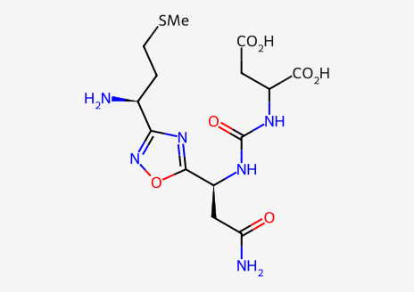 CSCC[C@H](N)c1noc([C@H](CC(N)=O)NC(=O)NC(CC(=O)O)C(=O)O)n1